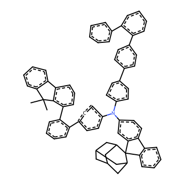 CC1(C)c2ccccc2-c2cccc(-c3ccccc3-c3ccc(N(c4ccc(-c5ccc(-c6ccccc6-c6ccccc6)cc5)cc4)c4ccc5c(c4)C4(c6ccccc6-5)C5CC6CC(C5)CC4C6)cc3)c21